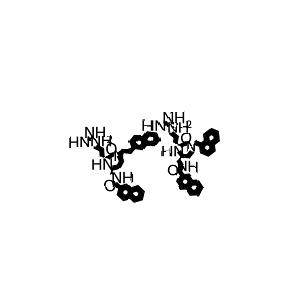 N=C(N)NCCC[C@@H]1N[C@H](CNC(=O)c2ccc3ccccc3c2)CCN(CCc2ccc3ccccc3c2)C1=O.N=C(N)NCCC[C@@H]1N[C@H](CNC(=O)c2ccc3ccccc3c2)CCN(Cc2cccc3ccccc23)C1=O